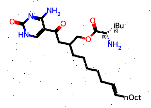 CCCCCCCCC=CCCCCCC(COC(=O)[C@@H](N)[C@@H](C)CC)CC(=O)c1c[nH]c(=O)nc1N